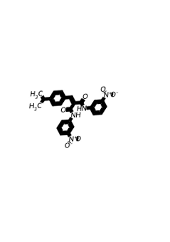 CC(C)c1ccc(C=C(C(=O)Nc2cccc([N+](=O)[O-])c2)C(=O)Nc2cccc([N+](=O)[O-])c2)cc1